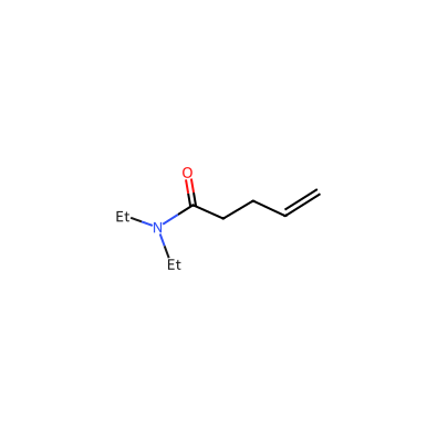 C=CCCC(=O)N(CC)CC